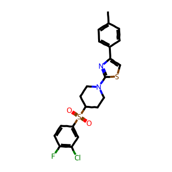 Cc1ccc(-c2csc(N3CCC(S(=O)(=O)c4ccc(F)c(Cl)c4)CC3)n2)cc1